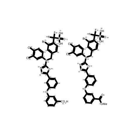 COC(=O)c1cccc(Oc2cccc(-c3nnc(N(Cc4ccc(C(F)(F)P(=O)(O)O)c(Br)c4)c4ccc(Cl)c(Cl)c4)o3)c2)c1.O=C(O)c1cccc(Oc2cccc(-c3nnc(N(Cc4ccc(C(F)(F)P(=O)(O)O)c(Br)c4)c4ccc(Cl)c(Cl)c4)o3)c2)c1